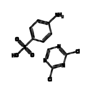 Clc1ncnc(Cl)n1.Nc1ccc(S(=O)(=O)O)cc1